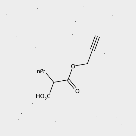 C#CCOC(=O)C(CCC)C(=O)O